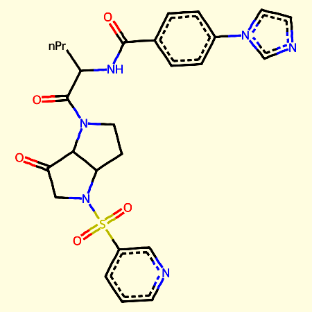 CCCC(NC(=O)c1ccc(-n2ccnc2)cc1)C(=O)N1CCC2C1C(=O)CN2S(=O)(=O)c1cccnc1